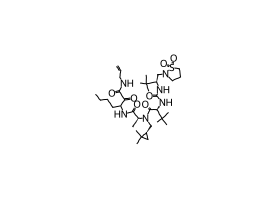 C=CCNC(=O)C(=O)C(CCCC)NC(=O)[C@H](C)N(C[C@H]1CC1(C)C)C(=O)[C@@H](NC(=O)N[C@H](CN1CCCS1(=O)=O)C(C)(C)C)C(C)(C)C